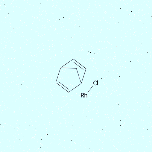 C1=CC2C=CC1C2.[Cl][Rh]